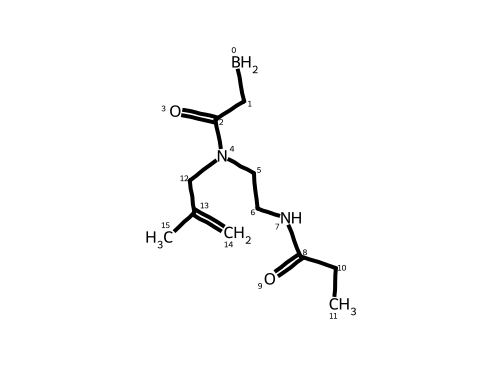 BCC(=O)N(CCNC(=O)CC)CC(=C)C